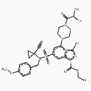 CCOC(=O)c1nc(Cl)n2c(N3CCN(C(=O)C(C)C)CC3)cc(S(=O)(=O)N(Cc3ccc(OC)cc3)C3(C#N)CC3)cc12